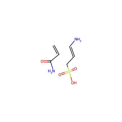 C=CC(N)=O.NC=CCS(=O)(=O)O